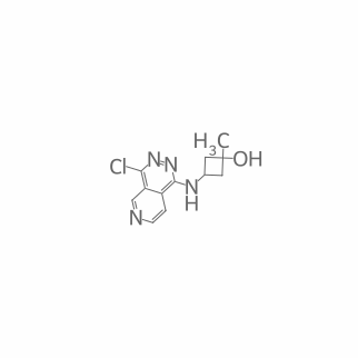 CC1(O)CC(Nc2nnc(Cl)c3cnccc23)C1